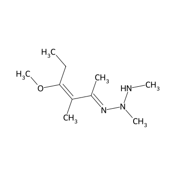 CC/C(OC)=C(C)\C(C)=N\N(C)NC